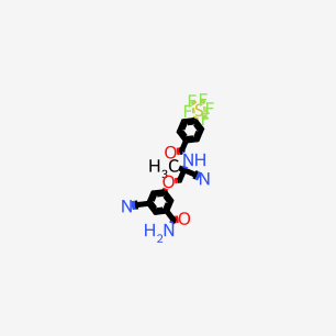 CC(C#N)(COc1cc(C#N)cc(C(N)=O)c1)NC(=O)c1ccc(S(F)(F)(F)(F)F)cc1